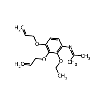 C=CCOc1ccc(N=C(C)C)c(OCC)c1OCC=C